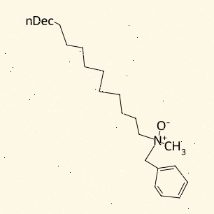 CCCCCCCCCCCCCCCCCCCC[N+](C)([O-])Cc1ccccc1